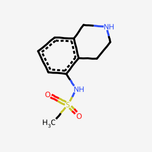 CS(=O)(=O)Nc1cccc2c1CCNC2